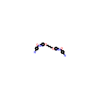 N#Cc1ccc(C(=O)NCc2ccc(OCCCCCCOc3ccc(CNC(=O)c4ccc(C#N)cc4)cc3)cc2)cc1